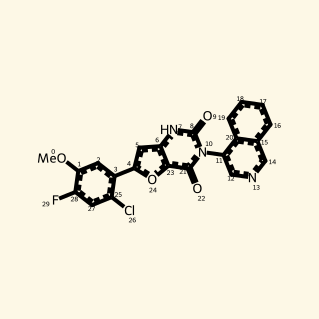 COc1cc(-c2cc3[nH]c(=O)n(-c4cncc5ccccc45)c(=O)c3o2)c(Cl)cc1F